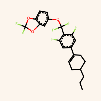 CCCC1CC=C(c2cc(F)c(C(F)(F)Oc3ccc4c(c3)OC(F)(F)O4)c(F)c2)CC1